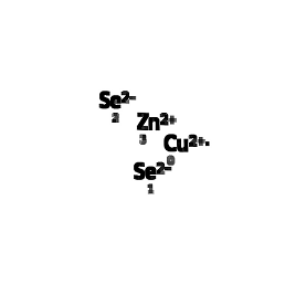 [Cu+2].[Se-2].[Se-2].[Zn+2]